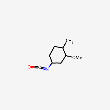 COC1CC(N=C=O)CCC1C